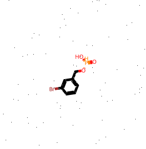 O=[PH](O)OCc1cccc(Br)c1